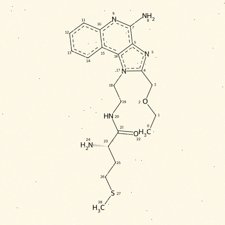 CCOCc1nc2c(N)nc3ccccc3c2n1CCNC(=O)[C@@H](N)CCSC